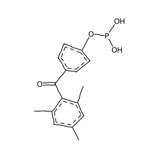 Cc1cc(C)c(C(=O)c2ccc(OP(O)O)cc2)c(C)c1